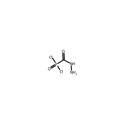 NNC(=O)P(=O)(Cl)Cl